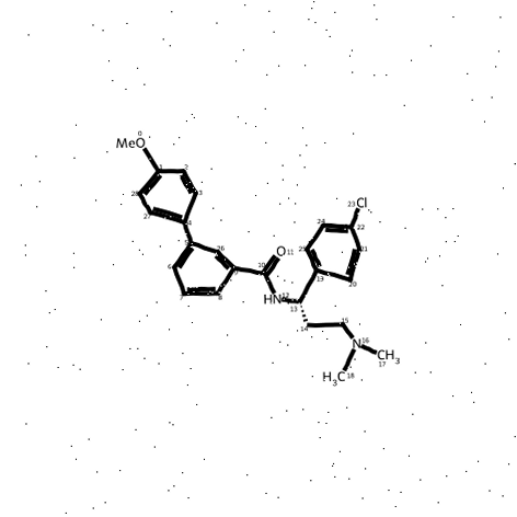 COc1ccc(-c2cccc(C(=O)N[C@@H](CCN(C)C)c3ccc(Cl)cc3)c2)cc1